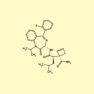 CC(C)C[C@@H](C(=O)N[C@H]1N=C(c2ccccc2F)c2ccccc2N(C(C)C)C1=O)[C@@]1(C(N)=O)C=CC1